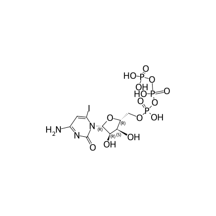 Nc1cc(I)n([C@@H]2O[C@H](COP(=O)(O)OP(=O)(O)OP(=O)(O)O)[C@@H](O)[C@H]2O)c(=O)n1